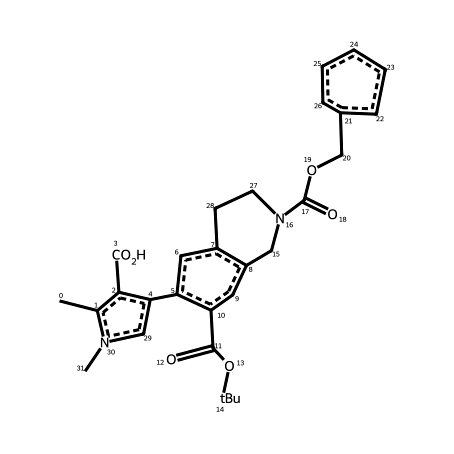 Cc1c(C(=O)O)c(-c2cc3c(cc2C(=O)OC(C)(C)C)CN(C(=O)OCc2ccccc2)CC3)cn1C